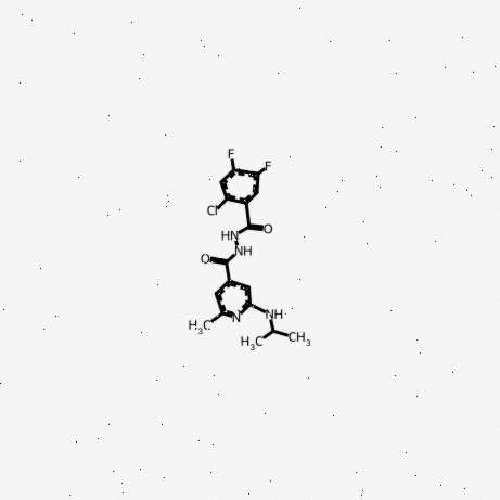 Cc1cc(C(=O)NNC(=O)c2cc(F)c(F)cc2Cl)cc(NC(C)C)n1